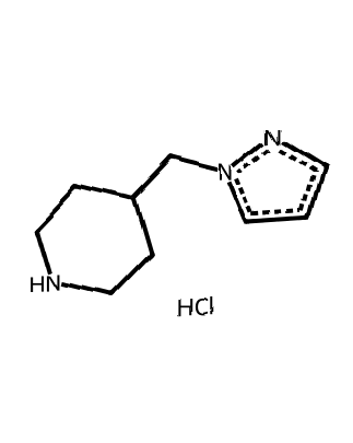 Cl.c1cnn(CC2CCNCC2)c1